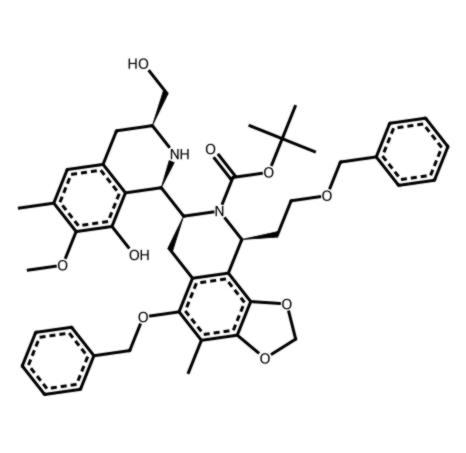 COc1c(C)cc2c(c1O)[C@H]([C@@H]1Cc3c(OCc4ccccc4)c(C)c4c(c3[C@H](CCOCc3ccccc3)N1C(=O)OC(C)(C)C)OCO4)N[C@H](CO)C2